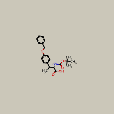 CC(c1ccc(OCc2ccccc2)cc1)[C@H](NC(=O)OC(C)(C)C)C(=O)O